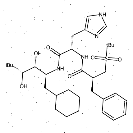 CCC(C)[C@@H](O)[C@H](O)[C@H](CC1CCCCC1)NC(=O)[C@H](Cc1c[nH]cn1)NC(=O)[C@H](Cc1ccccc1)CS(=O)(=O)C(C)(C)C